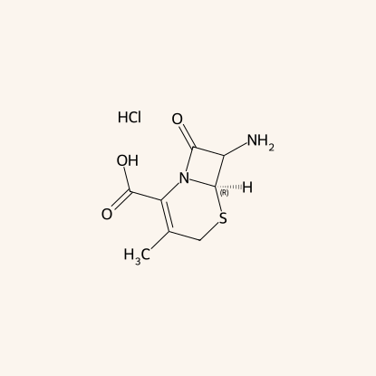 CC1=C(C(=O)O)N2C(=O)C(N)[C@H]2SC1.Cl